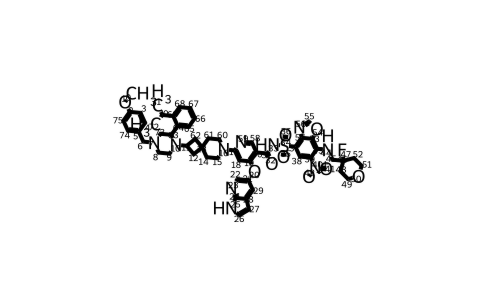 COc1ccc(CN2CCN(C3CC4(CCN(c5cc(Oc6cnc7[nH]ccc7c6)c(C(=O)NS(=O)(=O)c6cc([N+](=O)[O-])c(NCC7(F)CCOCC7)c7ocnc67)cn5)CC4)C3)C(c3ccccc3C(C)C)C2)cc1